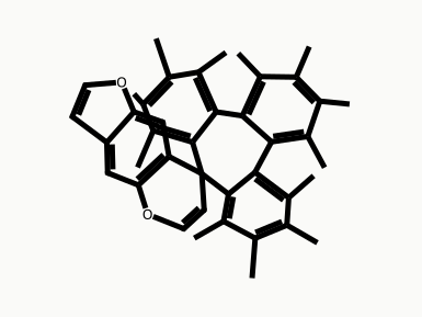 Cc1c(C)c(C)c2c(c1C)-c1c(C)c(C)c(C)c(C)c1C1(C=COc3cc4ccoc4cc31)c1c(C)c(C)c(C)c(C)c1-2